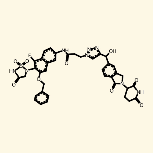 O=C1CCC(N2Cc3cc(C(O)c4cn(CCC(=O)Nc5ccc6c(F)c(N7CC(=O)NS7(=O)=O)c(OCc7ccccc7)cc6c5)nn4)ccc3C2=O)C(=O)N1